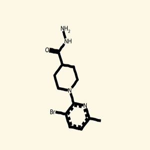 Cc1ccc(Br)c(N2CCC(C(=O)NN)CC2)n1